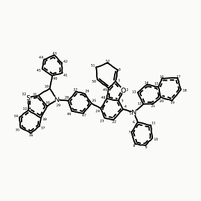 C1=c2oc3c(N(c4ccccc4)c4ccc5ccccc5c4)ccc(-c4ccc(N5c6c(sc7ccccc67)C5c5ccccc5)cc4)c3c2=CCC1